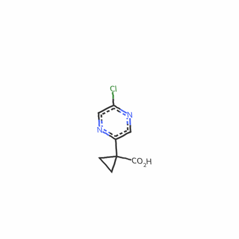 O=C(O)C1(c2cnc(Cl)cn2)CC1